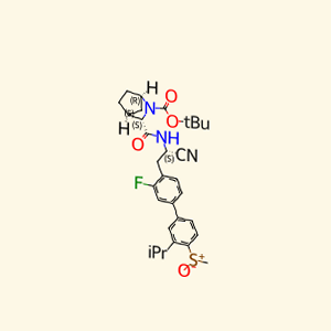 CC(C)c1cc(-c2ccc(C[C@@H](C#N)NC(=O)[C@@H]3[C@H]4CC[C@H](C4)N3C(=O)OC(C)(C)C)c(F)c2)ccc1[S+](C)[O-]